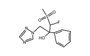 CS(=O)(=O)C(F)C(O)(Cn1cncn1)c1ccccc1